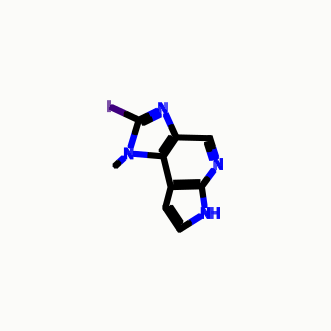 Cn1c(I)nc2cnc3[nH]ccc3c21